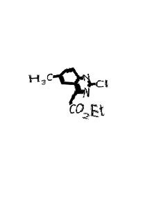 CCOC(=O)Cc1nc(Cl)nc2ccc(C)cc12